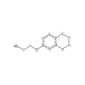 OCCOc1ccc2c(c1)CCCC2